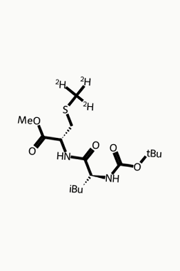 [2H]C([2H])([2H])SC[C@H](NC(=O)[C@@H](NC(=O)OC(C)(C)C)[C@@H](C)CC)C(=O)OC